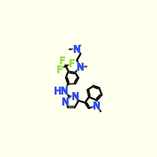 CN(C)CCN(C)c1ccc(Nc2nccc(-c3cn(C)c4ccccc34)n2)cc1C(F)(F)F